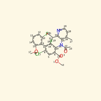 COC(=O)c1cc(Cl)c(-c2c(F)cccc2OC)c(F)c1N(C(C)=O)c1c(C)ccnc1C(C)C